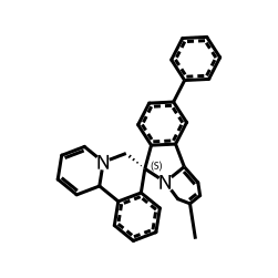 CC1=CC=C2c3cc(-c4ccccc4)ccc3[C@@]3(CN4C=CC=CC4c4ccccc43)N2C1